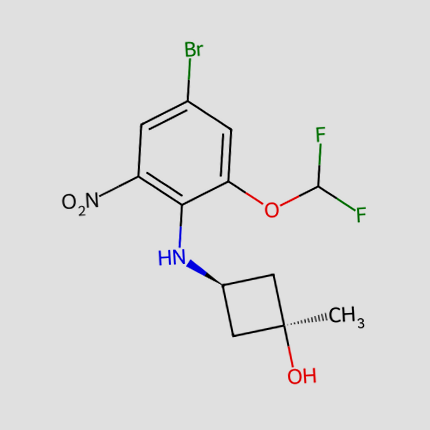 C[C@]1(O)C[C@@H](Nc2c(OC(F)F)cc(Br)cc2[N+](=O)[O-])C1